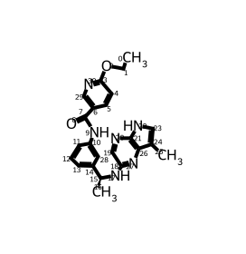 CCOc1ccc(C(=O)Nc2cccc([C@H](C)Nc3cnc4[nH]cc(C)c4n3)c2)cn1